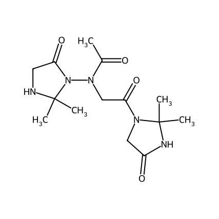 CC(=O)N(CC(=O)N1CC(=O)NC1(C)C)N1C(=O)CNC1(C)C